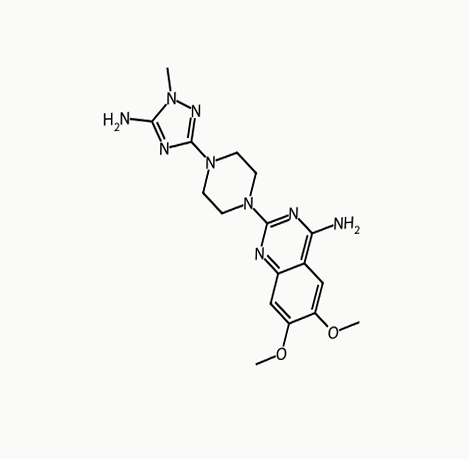 COc1cc2nc(N3CCN(c4nc(N)n(C)n4)CC3)nc(N)c2cc1OC